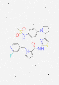 CS(=O)(=O)Nc1ccc(N2CCC[C@@H]2c2csc(NC(=O)c3cccn3Cc3ccnc(F)c3)n2)cc1